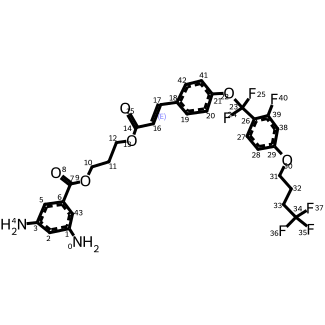 Nc1cc(N)cc(C(=O)OCCCOC(=O)/C=C/c2ccc(OC(F)(F)c3ccc(OCCCC(F)(F)F)cc3F)cc2)c1